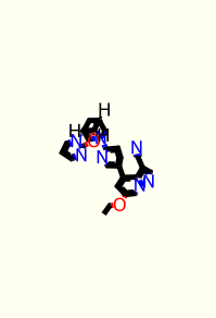 CCOc1cc(-c2ccc(N3C[C@H]4C[C@@H](C3)[C@H]4Oc3ncccn3)nc2)c2c(C#N)cnn2c1